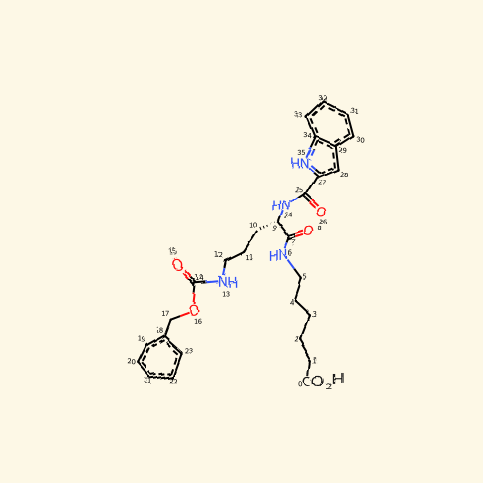 O=C(O)CCCCCNC(=O)[C@H](CCCNC(=O)OCc1ccccc1)NC(=O)c1cc2ccccc2[nH]1